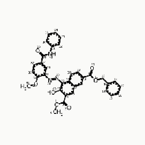 COC(=O)c1cc2cc(C(=O)OCc3ccccc3)ccc2c(N=Nc2cc(C(=O)Nc3ccccc3)ccc2OC)c1O